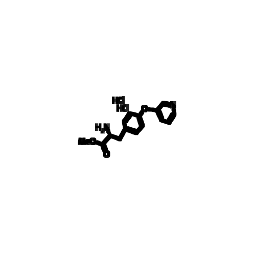 COC(=O)[C@@H](N)Cc1ccc(Oc2cccnc2)cc1.Cl.Cl